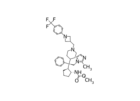 COC(=O)N[C@@H]1CCC[C@H]1[C@](Cn1ccnc1C)(c1ccccc1)C1CCN(CC2CN(c3ccc(C(F)(F)F)cc3)C2)CC1